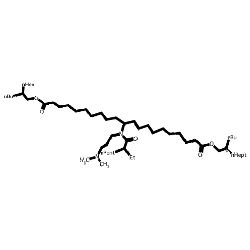 CCCCCCC[C@H](CCCC)COC(=O)CCCCCCCCCC(CCCCCCCCCC(=O)OCC(CCCC)CCCCCC)N(CCCN(C)C)C(=O)C(CC)CCCCC